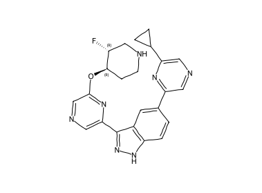 F[C@@H]1CNCC[C@H]1Oc1cncc(-c2n[nH]c3ccc(-c4cncc(C5CC5)n4)cc23)n1